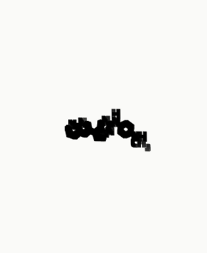 CN[C@H]1CC[C@@H](Nc2ncc3c(-c4cnc5ncccc5c4)ccn3n2)CC1